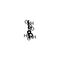 CC(=O)NCC1CN(c2ccc3c(c2)CCNC(=O)N3)C(=O)O1